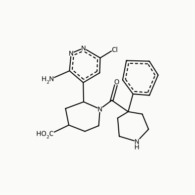 Nc1nnc(Cl)cc1C1CC(C(=O)O)CCN1C(=O)C1(c2ccccc2)CCNCC1